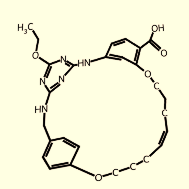 CCOc1nc2nc(n1)Nc1ccc(C(=O)O)c(c1)OCCCC=CCCCOc1ccc(cc1)CN2